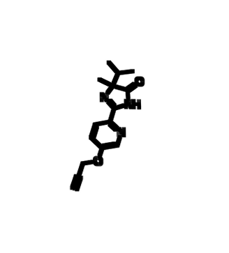 C#CCOc1ccc(C2=NC(C)(C(C)C)C(=O)N2)nc1